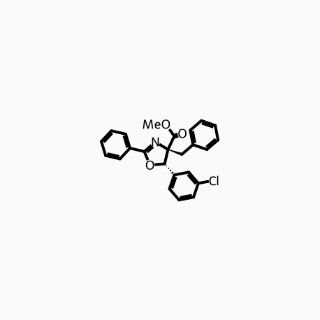 COC(=O)[C@@]1(Cc2ccccc2)N=C(c2ccccc2)O[C@H]1c1cccc(Cl)c1